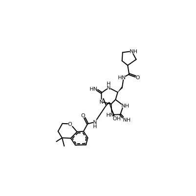 CC1(C)CCOc2c(C(=O)NC3CN4C(=N)N[C@@H](CNC(=O)C5CCNC5)C5NC(=N)NC54[C@@H]3O)cccc21